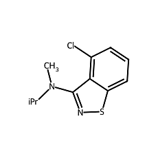 CC(C)N(C)c1nsc2cccc(Cl)c12